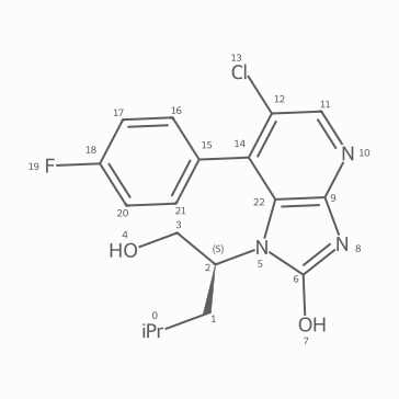 CC(C)C[C@@H](CO)n1c(O)nc2ncc(Cl)c(-c3ccc(F)cc3)c21